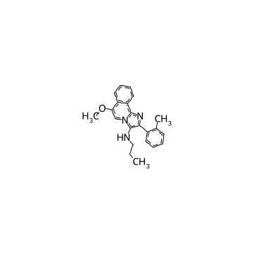 CCCNc1c(-c2ccccc2C)nc2c3ccccc3c(OC)cn12